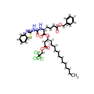 CCCCCCCCCCCCC[C@@H](CC(=O)OCC(Cl)(Cl)Cl)OC(=O)[C@H](CCCC(=O)OCc1ccccc1)NC(=O)Nc1nc2ccccc2s1